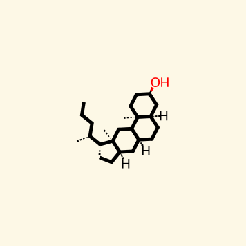 CCC[C@@H](C)[C@H]1CC[C@@H]2C[C@@H]3CC[C@@H]4C[C@H](O)CC[C@]4(C)C3C[C@@]21C